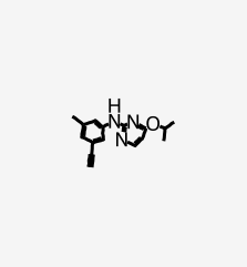 C#Cc1cc(C)cc(Nc2nccc(OC(C)C)n2)c1